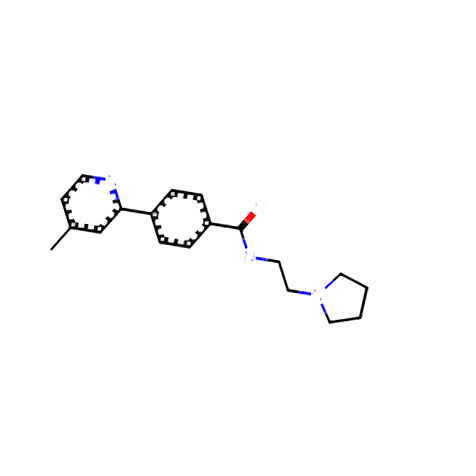 Cc1ccnc(-c2ccc(C(=O)NCCN3CCCC3)cc2)c1